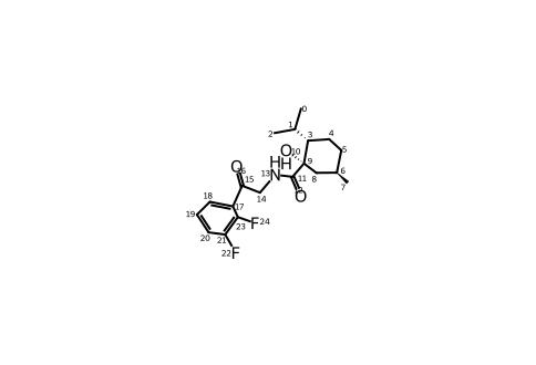 CC(C)[C@@H]1CC[C@@H](C)C[C@@]1(O)C(=O)NCC(=O)c1cccc(F)c1F